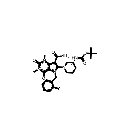 Cn1c(=O)c2c(c(C(N)=O)c(N3CCC[C@@H](NC(=O)OC(C)(C)C)C3)n2Cc2ccccc2Cl)n(C)c1=O